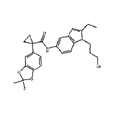 CCc1cc2cc(NC(=O)C3(c4ccc5c(c4)OC(F)(F)O5)CC3)ccc2n1CCCO